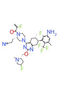 C=C(F)C(=O)N1CCN(c2nc(OC[C@@H]3C[C@@H](F)CN3C)nc3c2C[C@H](C)[C@@H](c2c(F)c(N)cc(C)c2C(F)(F)F)C3)C[C@@H]1CCC#N